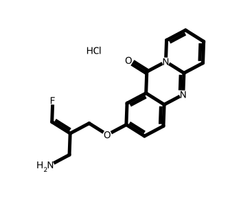 Cl.NC/C(=C/F)COc1ccc2nc3ccccn3c(=O)c2c1